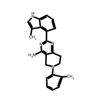 Cc1ccccc1N1CCc2nc(-c3cccc4[nH]cc(C)c34)nc(N)c2C1